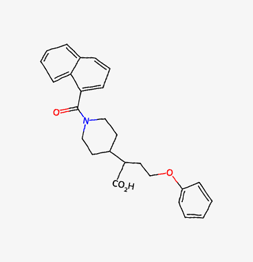 O=C(O)C(CCOc1ccccc1)C1CCN(C(=O)c2cccc3ccccc23)CC1